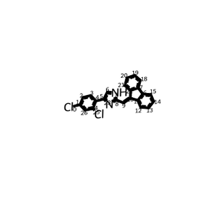 Clc1ccc(-c2c[nH]c(C=C3c4ccccc4-c4ccccc43)n2)c(Cl)c1